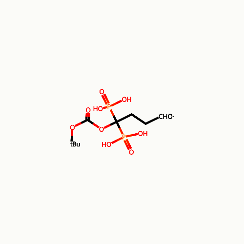 CC(C)(C)OC(=O)OC(CC[C]=O)(P(=O)(O)O)P(=O)(O)O